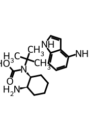 CC(C)(C)N(C(=O)O)[C@H]1CCCC[C@H]1N.Nc1cccc2[nH]ccc12